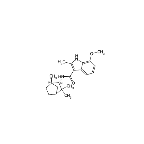 COc1cccc2c(C(=O)N[C@@H]3C(C)(C)C4CC[C@@]3(C)C4)c(C)[nH]c12